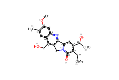 CCOc1cc2nc3c(c(CO)c2cc1C)Cn1c-3cc(C(O)C=O)c(COC)c1=O